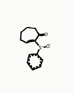 O=C1CCCCC=C1[S+]([O-])c1ccccc1